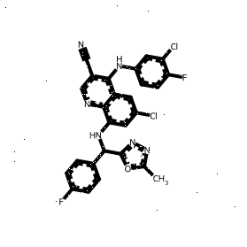 Cc1nnc(C(Nc2cc(Cl)cc3c(Nc4ccc(F)c(Cl)c4)c(C#N)cnc23)c2ccc(F)cc2)o1